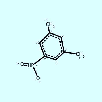 Cc1cc(C)cc([PH]([O])=O)c1